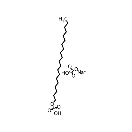 CCCCCCCCCCCCCCCCCCCCOS(=O)(=O)O.O=S(=O)([O-])O.[Na+]